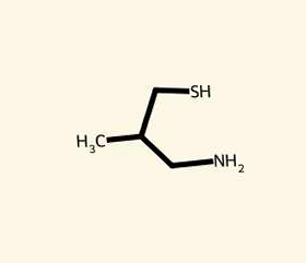 CC(CN)CS